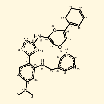 CN(C)c1ccc(-c2nnc(NC3=COC=C(C4=CC=CCC4)O3)o2)c(NCc2cncnc2)c1